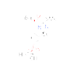 CCc1nc(SC)c(C(=O)OC(C)CC)n1Cc1ccc(B2OCC(C)(C)O2)cc1